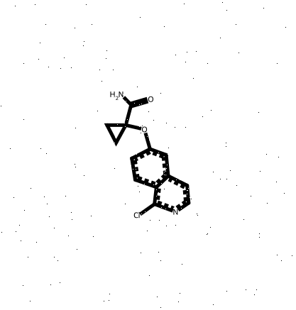 NC(=O)C1(Oc2ccc3c(Cl)nccc3c2)CC1